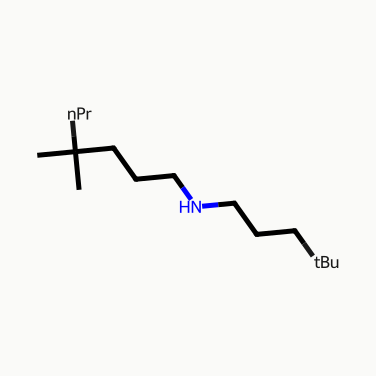 CCCC(C)(C)CCCNCCCC(C)(C)C